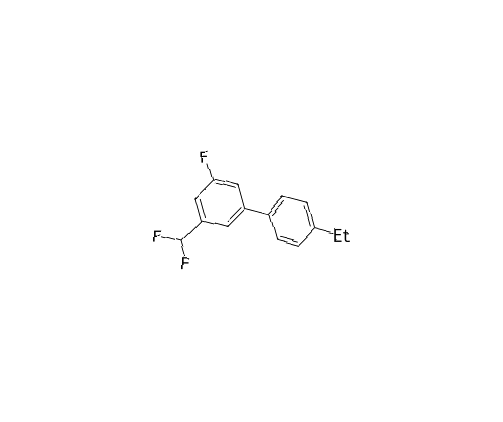 CCc1ccc(-c2cc(F)cc(C(F)F)c2)cc1